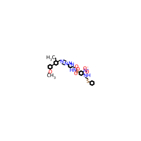 CCOc1cccc(-c2ccc(CN3CCN(c4ccc(C(=O)NS(=O)(=O)c5ccc(NCCSc6ccccc6)c([N+](=O)[O-])c5)nn4)CC3)c(CC)c2)c1